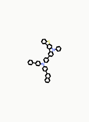 c1ccc(-c2ccc(N(c3ccc(-c4ccc5ccccc5c4)cc3)c3ccc(-c4ccc5c(c4)c4cc6c(cc4n5-c4ccccc4)sc4ccccc46)cc3)cc2)cc1